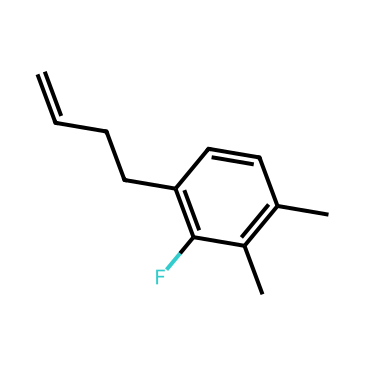 C=CCCc1ccc(C)c(C)c1F